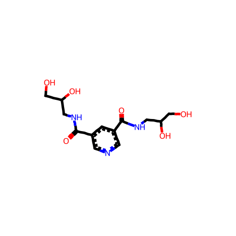 O=C(NCC(O)CO)c1cncc(C(=O)NCC(O)CO)c1